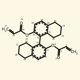 C=CC(=O)Oc1ccc2c(c1-c1c(OC(=O)C=C)ccc3c1CCCC3)CCCC2